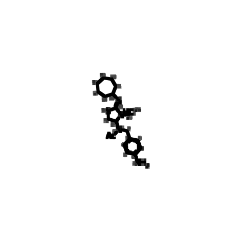 CC(=O)N(Cc1ccc(N)cc1)C1CSC(=NC2CCCCCC2)N1C.Cl